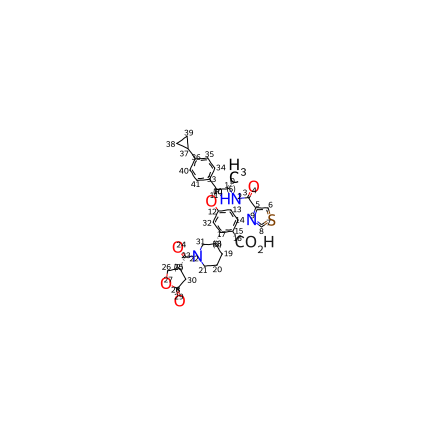 C[C@H](NC(=O)c1cscn1)[C@H](Oc1ccc(C(=O)O)c([C@@H]2CCCN(C(=O)[C@H]3COC(=O)C3)C2)c1)c1ccc(C2CC2)cc1